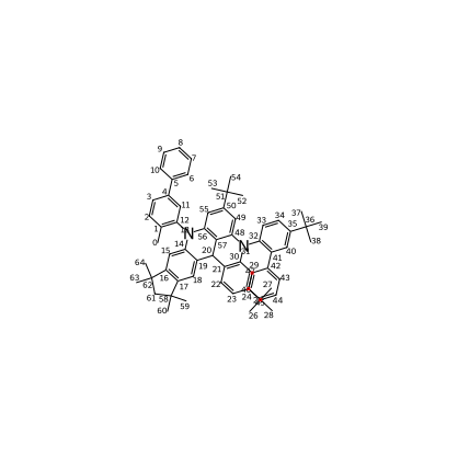 Cc1ccc(-c2ccccc2)cc1N1c2cc3c(cc2C2c4ccc(C(C)(C)C)cc4N(c4ccc(C(C)(C)C)cc4-c4ccccc4)c4cc(C(C)(C)C)cc1c42)C(C)(C)CC3(C)C